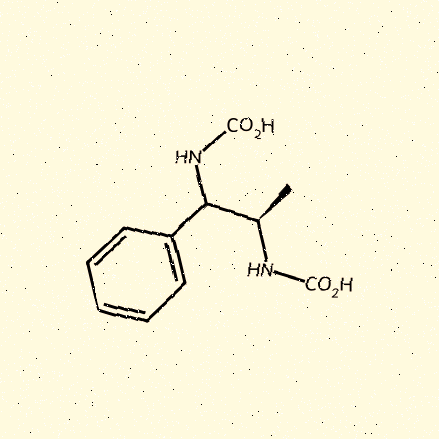 C[C@@H](NC(=O)O)C(NC(=O)O)c1ccccc1